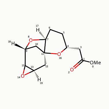 COC(=O)C[C@H]1CC[C@@H]2O[C@@H]3C[C@]2(C[C@H]2OC23)O1